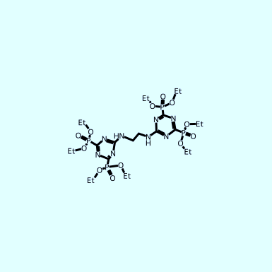 CCOP(=O)(OCC)c1nc(NCCNc2nc(P(=O)(OCC)OCC)nc(P(=O)(OCC)OCC)n2)nc(P(=O)(OCC)OCC)n1